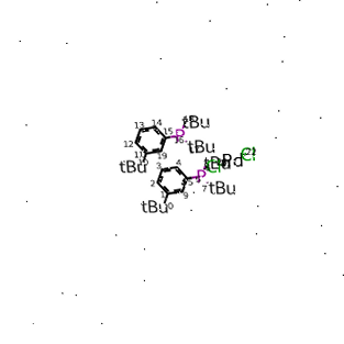 CC(C)(C)c1cccc(P(C(C)(C)C)C(C)(C)C)c1.CC(C)(C)c1cccc(P(C(C)(C)C)C(C)(C)C)c1.[Cl][Pd][Cl]